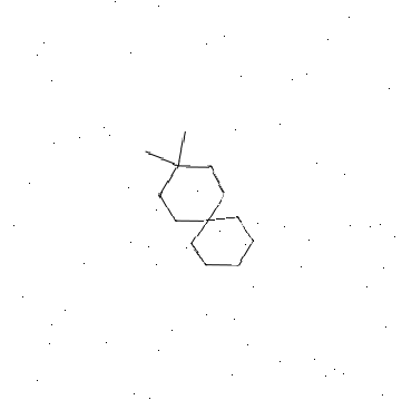 CC1(C)CCC2(CCCCC2)CC1